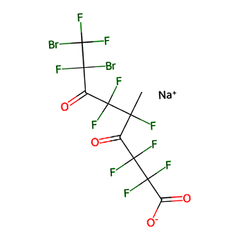 CC(F)(C(=O)C(F)(F)C(F)(F)C(=O)[O-])C(F)(F)C(=O)C(F)(Br)C(F)(F)Br.[Na+]